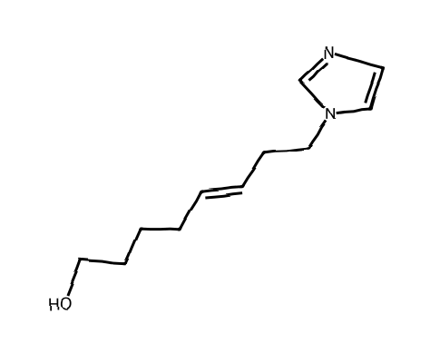 OCCCCC=CCCn1ccnc1